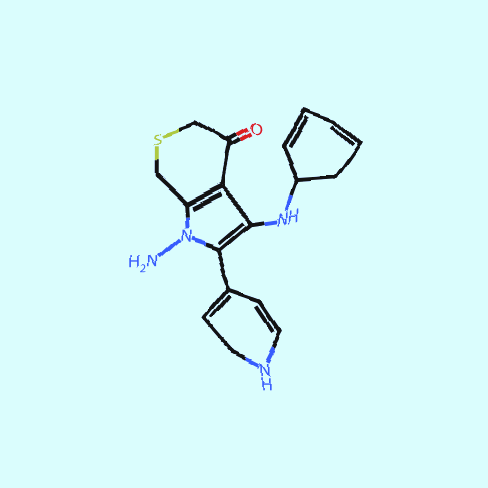 Nn1c2c(c(NC3C=CC=CC3)c1C1=CCNC=C1)C(=O)CSC2